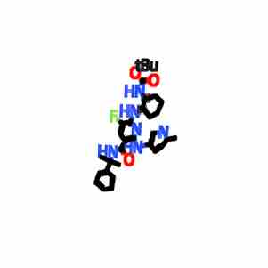 Cc1ccc(Nc2nc(N[C@@H]3CCCC[C@@H]3NC(=O)OC(C)(C)C)c(F)cc2C(=O)NC(C)(C)c2ccccc2)cn1